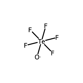 [O][Te](F)(F)(F)(F)F